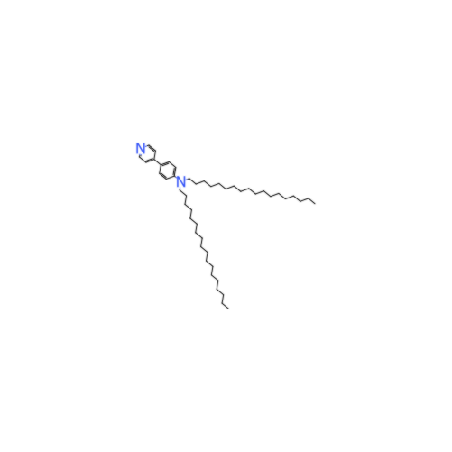 CCCCCCCCCCCCCCCCCCN(CCCCCCCCCCCCCCCCCC)c1ccc(-c2ccncc2)cc1